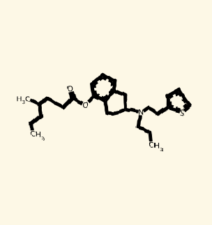 CCCC(C)CCC(=O)Oc1cccc2c1CCC(N(CCC)CCc1cccs1)C2